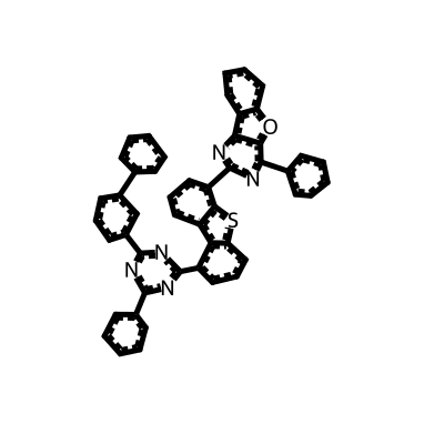 c1ccc(-c2cccc(-c3nc(-c4ccccc4)nc(-c4cccc5sc6c(-c7nc(-c8ccccc8)c8oc9ccccc9c8n7)cccc6c45)n3)c2)cc1